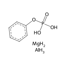 O=P(O)(O)Oc1ccccc1.[AlH3].[MgH2]